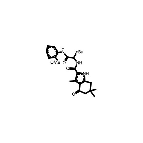 CCCCC(NC(=O)c1[nH]c2c(c1C)C(=O)CC(C)(C)C2)C(=O)Nc1ccccc1OC